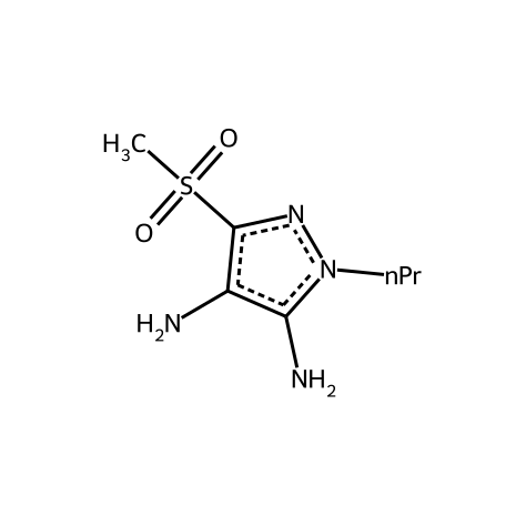 CCCn1nc(S(C)(=O)=O)c(N)c1N